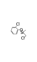 C[Si](C)(CCl)Oc1ccccc1Cl